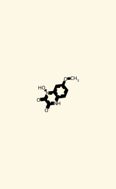 COc1ccc2[nH]c(=O)c(=O)n(O)c2c1